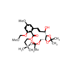 COCOc1cc(OC)cc(/C=C/C(O)[C@@H]2OC(C)(C)O[C@@H]2COC(=O)C(C)(C)C)c1C(=O)OCC[Si](C)(C)C